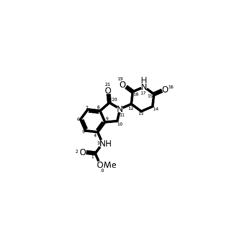 COC(=O)Nc1cccc2c1CN(C1CCC(=O)NC1=O)C2=O